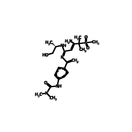 C=C(/N=C(\C=C(/N)C(C)(C)S(C)(=O)=O)N[C@@H](C)CO)c1ccc(NC(=O)N(C)C)cc1